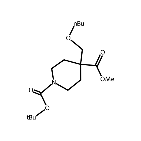 CCCCOCC1(C(=O)OC)CCN(C(=O)OC(C)(C)C)CC1